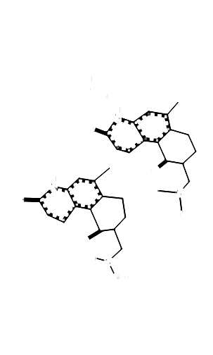 CCCCN(CCCC)CC1CCc2c(C)cc3[nH]c(=O)ccc3c2C1=O.CCCCN(CCCC)CC1CCc2c(C)cc3[nH]c(=O)ccc3c2C1=O.Cl.Cl.O